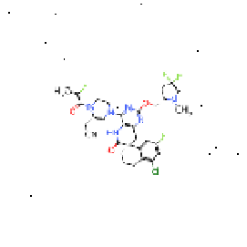 C=C(F)C(=O)N1CCN(c2nc(OC[C@@H]3CC(F)(F)CN3C)nc3c2NC(=O)[C@@]2(CCCc4c(Cl)cc(F)cc42)C3)C[C@@H]1CC#N